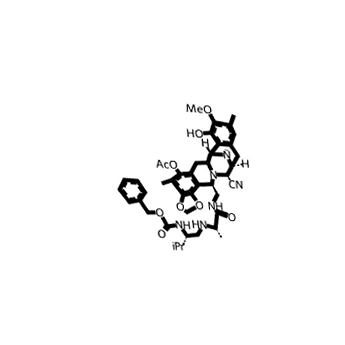 COc1c(C)cc2c(c1O)[C@H]1C3Cc4c(OC(C)=O)c(C)c5c(c4[C@H](CNC(=O)[C@H](C)NC[C@@H](NC(=O)OCc4ccccc4)C(C)C)N3[C@@H](C#N)[C@H](C2)N1C)OCO5